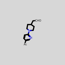 CC(=O)c1ccc(N2CCC(CC=O)CC2)nc1